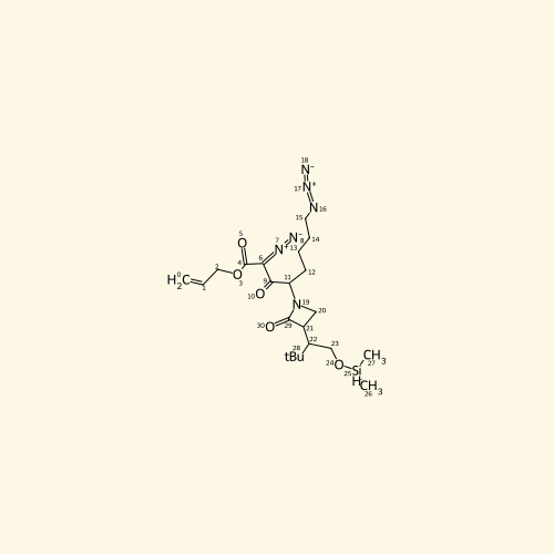 C=CCOC(=O)C(=[N+]=[N-])C(=O)C(CCCCN=[N+]=[N-])N1CC(C(CO[SiH](C)C)C(C)(C)C)C1=O